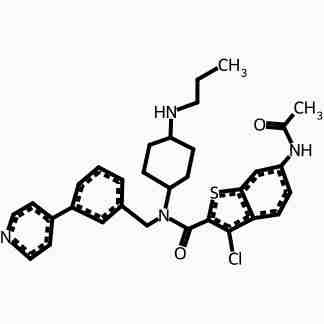 CCCNC1CCC(N(Cc2cccc(-c3ccncc3)c2)C(=O)c2sc3cc(NC(C)=O)ccc3c2Cl)CC1